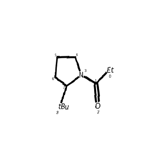 CCC(=O)N1CCCC1C(C)(C)C